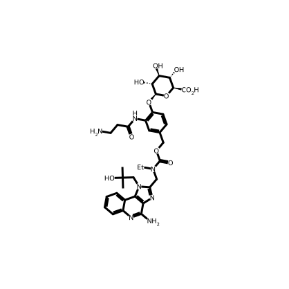 CCN(Cc1nc2c(N)nc3ccccc3c2n1CC(C)(C)O)C(=O)OCc1ccc(O[C@@H]2O[C@H](C(=O)O)[C@@H](O)[C@H](O)[C@H]2O)c(NC(=O)CCN)c1